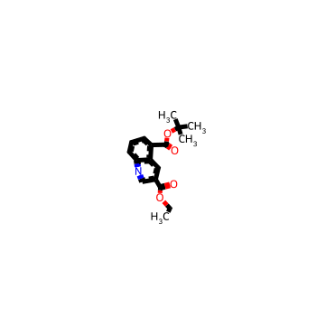 CCOC(=O)c1cnc2cccc(C(=O)OC(C)(C)C)c2c1